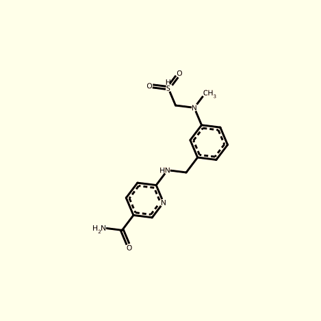 CN(C[SH](=O)=O)c1cccc(CNc2ccc(C(N)=O)cn2)c1